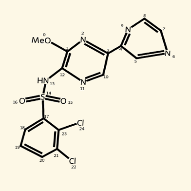 COc1nc(-c2cnccn2)cnc1NS(=O)(=O)c1cccc(Cl)c1Cl